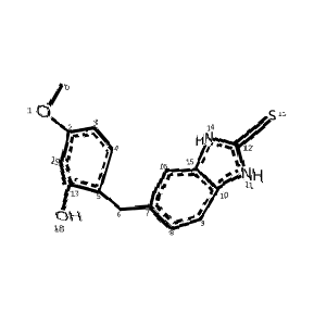 COc1ccc(Cc2ccc3[nH]c(=S)[nH]c3c2)c(O)c1